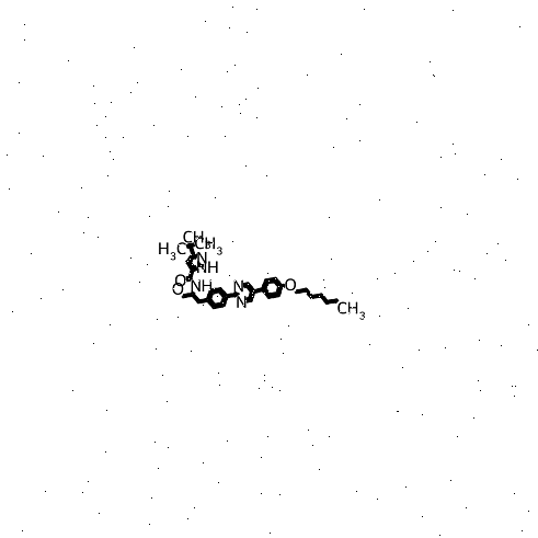 CCCCCCCOc1ccc(-c2cnc(-c3ccc(CC(C=O)NC(=O)c4cc(C(C)(C)C)n[nH]4)cc3)nc2)cc1